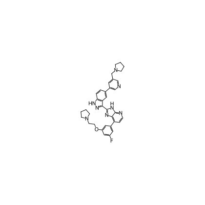 Fc1cc(OCCN2CCCC2)cc(-c2ccnc3[nH]c(-c4n[nH]c5ccc(-c6cncc(CN7CCCC7)c6)cc45)nc23)c1